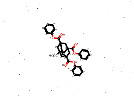 O=C(O)C12CC3(C(=O)Oc4ccccc4)CC(C(=O)Oc4ccccc4)(C1)CC(C(=O)Oc1ccccc1)(C2)C3